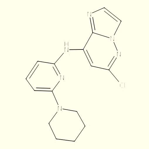 Clc1cc(Nc2cccc(N3CCCCC3)n2)c2nccn2n1